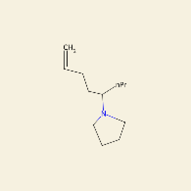 C=CCCC(CCC)N1CCCC1